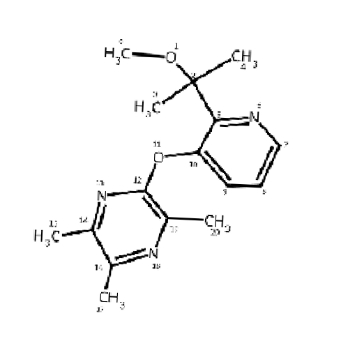 COC(C)(C)c1ncccc1Oc1nc(C)c(C)nc1C